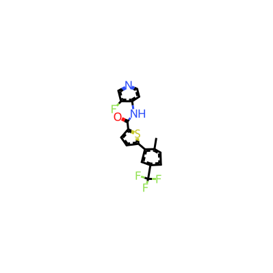 Cc1ccc(C(F)(F)F)cc1-c1ccc(C(=O)Nc2ccncc2F)s1